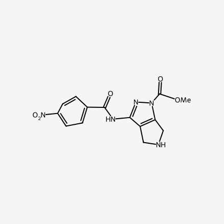 COC(=O)n1nc(NC(=O)c2ccc([N+](=O)[O-])cc2)c2c1CNC2